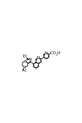 CCc1nc(-c2cccc3cc(-c4ccc(C(=O)O)nc4)ncc23)c2n1CCN(C(C)=O)C2